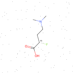 CN(C)CC[C@H](F)C(=O)O